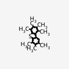 Cc1cc2c(sc3c(C)c(C)c(C)c(C)c32)c(C)c1C